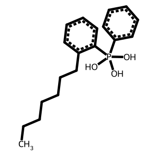 CCCCCCCc1ccccc1P(O)(O)(O)c1ccccc1